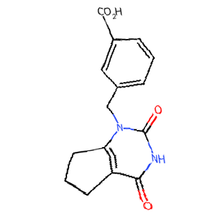 O=C(O)c1cccc(Cn2c3c(c(=O)[nH]c2=O)CCC3)c1